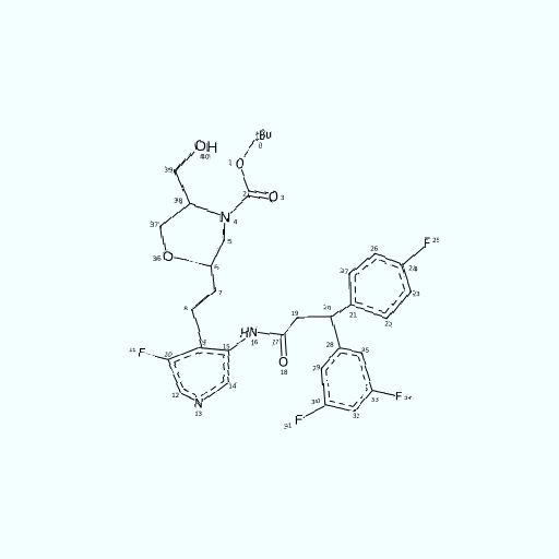 CC(C)(C)OC(=O)N1CC(CCc2c(F)cncc2NC(=O)CC(c2ccc(F)cc2)c2cc(F)cc(F)c2)OCC1CO